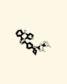 CC(C)(C)OC(=O)NC1(c2ccc(-c3nnc4n3-c3cnccc3Nc3ccccc3-4)cc2)CCC1